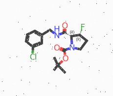 CC(C)(C)OC(=O)N1CC[C@@H](F)[C@H]1C(=O)NCc1cccc(Cl)c1